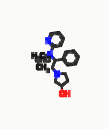 CC=O.CN(c1ccccn1)C(CN1CCC(O)C1)c1ccccc1